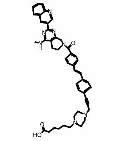 CNc1nc(-c2cnc3ccccc3c2)nc2c1CCN(C(=O)c1ccc(/C=C/c3ccc(C#CCN4CCN(CCCCCC(=O)O)CC4)cc3)cc1)C2